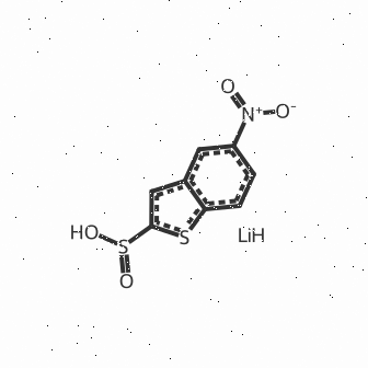 O=[N+]([O-])c1ccc2sc(S(=O)O)cc2c1.[LiH]